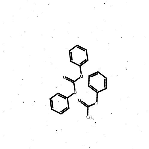 CC(=O)Oc1ccccc1.O=C(Oc1ccccc1)Oc1ccccc1